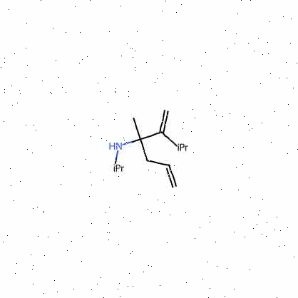 C=CCC(C)(NC(C)C)C(=C)C(C)C